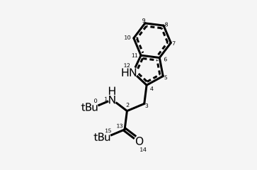 CC(C)(C)NC(Cc1cc2ccccc2[nH]1)C(=O)C(C)(C)C